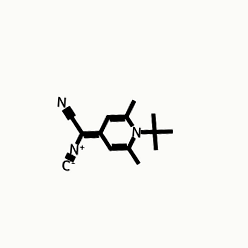 [C-]#[N+]C(C#N)=C1C=C(C)N(C(C)(C)C)C(C)=C1